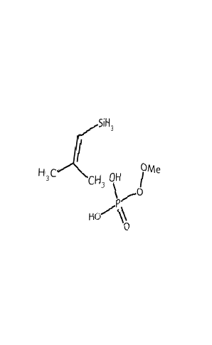 CC(C)=C[SiH3].COOP(=O)(O)O